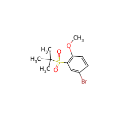 COc1ccc(Br)cc1S(=O)(=O)C(C)(C)C